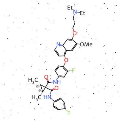 CCN(CC)CCCOc1cc2nccc(Oc3ccc(NC(=O)C4(C(=O)Nc5ccc(F)cc5)[C@H](C)[C@@H]4C)cc3F)c2cc1OC